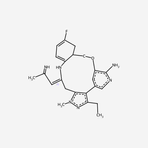 CCc1nn(C)c2c1-c1cnc(N)c(c1)OCC1CC(F)=CC=C1N/C(=C\C(C)=N)C2